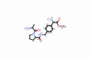 CC(N)C(=O)N1CCCC1C(=O)NCc1ccc(C(N)C(=O)OC(C)(C)C)cc1